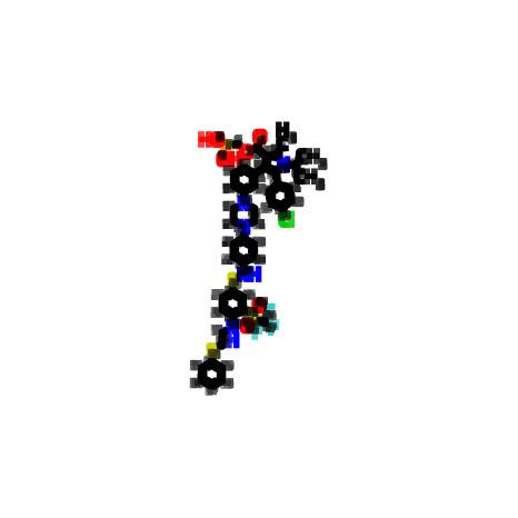 Cc1c(C(=O)OCP(O)O)c(-c2cccc(N3CCN(c4ccc(NSc5ccc(NCCSc6ccccc6)c(S(=O)(=O)C(F)(F)F)c5)cc4)CC3)c2)c(-c2ccc(Cl)cc2)n1C(C)C